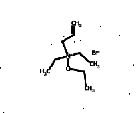 C=CC[N+](CC)(CC)OCC.[Br-]